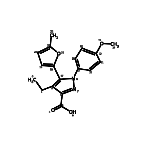 CCc1c(C(=O)O)nn(-c2ccc(OC)cc2)c1-c1ccc(C)o1